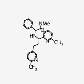 CNC(=O)[C@H](N[C@@H](CCc1ccc(C(F)(F)F)nc1)c1cccc(C)n1)c1ccccc1